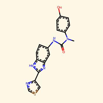 CN(C(=O)Nc1ccc2[nH]c(-c3cscn3)nc2c1)c1ccc(O)cc1